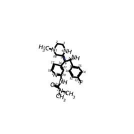 CN1CCN/C(=C(\C(=N)c2ccc(F)cc2)c2ccnc(NC(=O)N(C)C)c2)C1